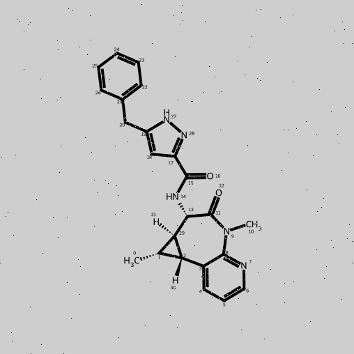 C[C@H]1[C@H]2c3cccnc3N(C)C(=O)[C@@H](NC(=O)c3cc(Cc4ccccc4)[nH]n3)[C@H]12